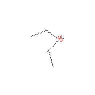 CCCCCCCCCC(C)CCCCCCCCC1(CCCCCCCCC(C)CCCCCCCCC)OC(C)C(C)O1